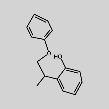 CC(COc1ccccc1)c1ccccc1O